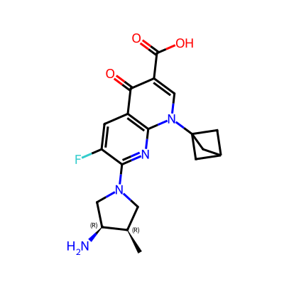 C[C@@H]1CN(c2nc3c(cc2F)c(=O)c(C(=O)O)cn3C23CC(C2)C3)C[C@@H]1N